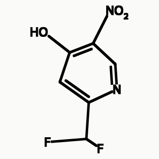 O=[N+]([O-])c1cnc(C(F)F)cc1O